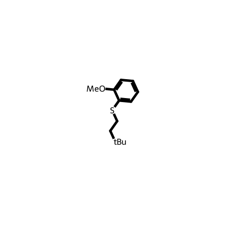 COc1ccccc1SCCC(C)(C)C